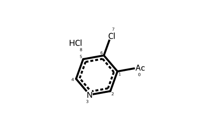 CC(=O)c1cnccc1Cl.Cl